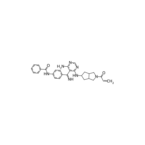 C=CC(=O)N1CC2CC(Nc3ncnc(N)c3C(=N)c3ccc(NC(=O)c4ccccc4)cc3)CC2C1